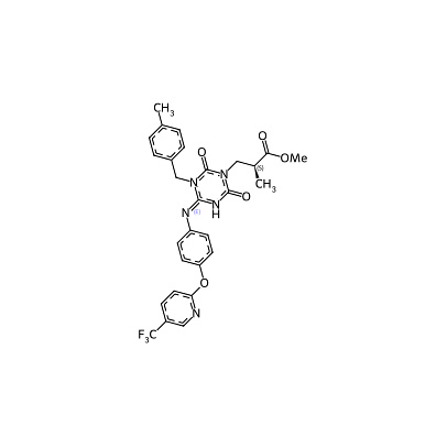 COC(=O)[C@@H](C)Cn1c(=O)[nH]/c(=N\c2ccc(Oc3ccc(C(F)(F)F)cn3)cc2)n(Cc2ccc(C)cc2)c1=O